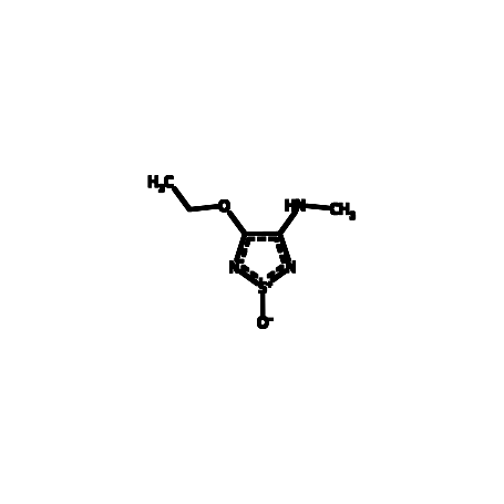 CCOc1n[s+]([O-])nc1NC